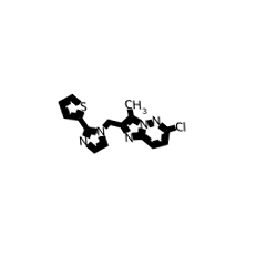 Cc1c(Cn2ccnc2-c2cccs2)nc2ccc(Cl)nn12